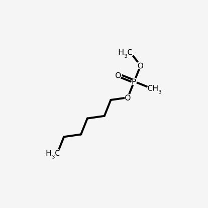 CCCCCCOP(C)(=O)OC